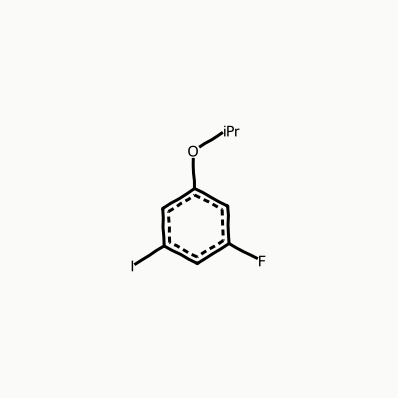 CC(C)Oc1cc(F)cc(I)c1